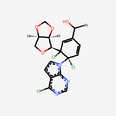 CC(C)C(O)C1=CC(Cl)([C@H]2OC[C@H]3OCO[C@H]32)[C@@](Cl)(n2ccc3c(Cl)ncnc32)C=C1